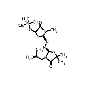 C=C(C)CN1C(=O)C(C)(C)SC1=NN=C1SC(O[Si](C)(C)C(C)(C)C)C(=O)N1C